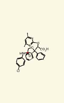 Cc1cc(C)nc(OC(C(=O)O)C(OCC(=O)Nc2ccc(Cl)cc2)(c2ccccc2)c2ccccc2)n1